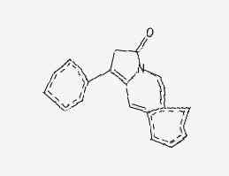 O=C1CC(c2ccccc2)=C2C=c3ccccc3=CN12